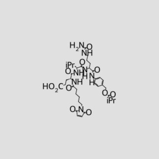 CC(C)C(=O)OCc1ccc(NC(=O)C(CCCNC(N)=O)NC(=O)[C@@H](NC(=O)[C@H](CCC(=O)O)NC(=O)CCCCCN2C(=O)C=CC2=O)C(C)C)cc1